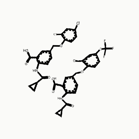 O=C(O)c1cc(COc2ccc(Cl)cc2Cl)ccc1NC(=O)C1CC1.O=C(O)c1cc(COc2ccc(OC(F)(F)F)cc2Cl)ccc1NC(=O)C1CC1